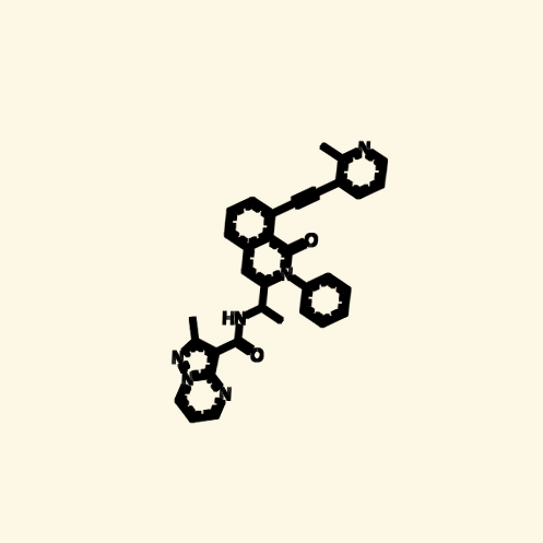 Cc1ncccc1C#Cc1cccc2cc(C(C)NC(=O)c3c(C)nn4cccnc34)n(-c3ccccc3)c(=O)c12